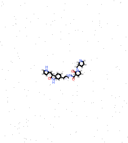 O=C1Nc2cc(/C=C/CNC(=O)c3cccn(Cc4cccnc4)c3=O)ccc2C1=Cc1ccc[nH]1